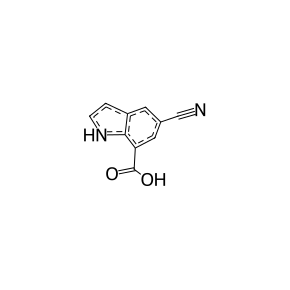 N#Cc1cc(C(=O)O)c2[nH]ccc2c1